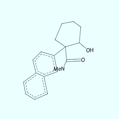 CNC(=O)C1(c2ccc3ccccc3c2)CCCCC1O